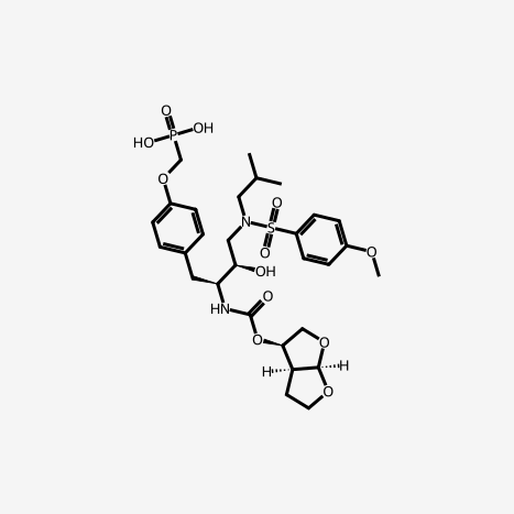 COc1ccc(S(=O)(=O)N(CC(C)C)C[C@@H](O)[C@H](Cc2ccc(OCP(=O)(O)O)cc2)NC(=O)O[C@H]2CO[C@H]3OCC[C@H]32)cc1